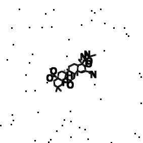 COC(=O)[C@]12CCC(C)(C)C[C@H]1[C@H]1C(=O)C=C3[C@@]4(C)C=C(C#N)C(=O)[C@@](C)(c5nnc(C)o5)C4CC[C@@]3(C)[C@]1(C)CC2